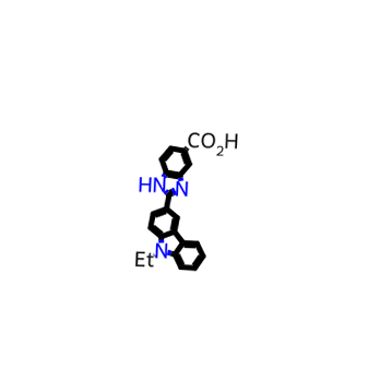 CCn1c2ccccc2c2cc(-c3nc4cc(C(=O)O)ccc4[nH]3)ccc21